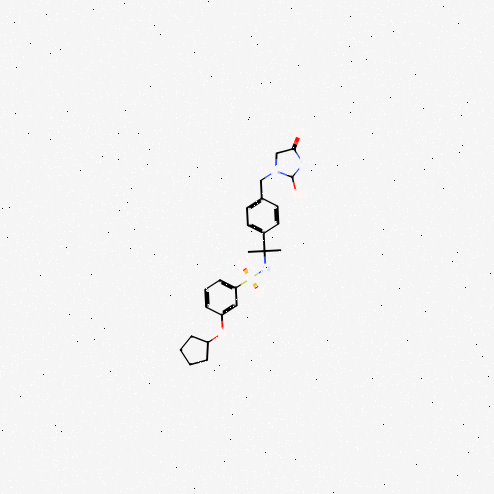 CC(C)(NS(=O)(=O)c1cccc(OC2CCCC2)c1)c1ccc(CN2CC(=O)NC2O)cc1